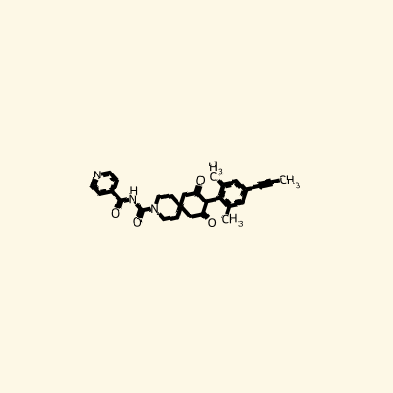 CC#Cc1cc(C)c(C2C(=O)CC3(CCN(C(=O)NC(=O)c4ccncc4)CC3)CC2=O)c(C)c1